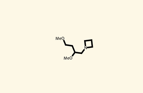 COCCC(CN1CCC1)OC